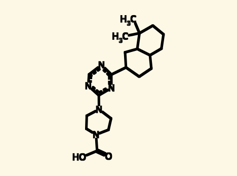 CC1(C)CCCC2CCC(c3ncnc(N4CCN(C(=O)O)CC4)n3)CC21